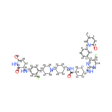 Cc1ccc(=O)n(-c2cccc(-c3nc(N[C@H]4CC[C@H](C(=O)N[C@H]5CC[C@H](N6CCC(c7ccc(NC8CCC(=O)NC8=O)cc7F)CC6)CC5)CC4)ncc3F)c2)c1